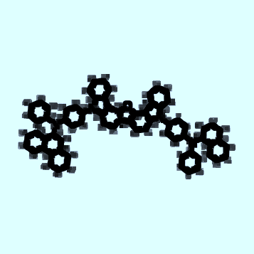 c1ccc(N(c2ccc(-n3c4ccccc4c4c5oc6c(ccc7c6c6ccccc6n7-c6ccc(N(c7ccccc7)c7cc8ccccc8c8ccccc78)cc6)c5ccc43)cc2)c2cccc3ccccc23)cc1